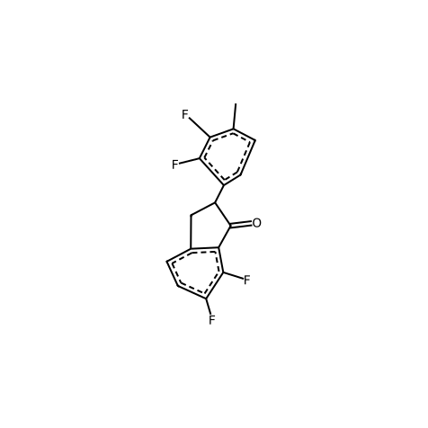 Cc1ccc(C2Cc3ccc(F)c(F)c3C2=O)c(F)c1F